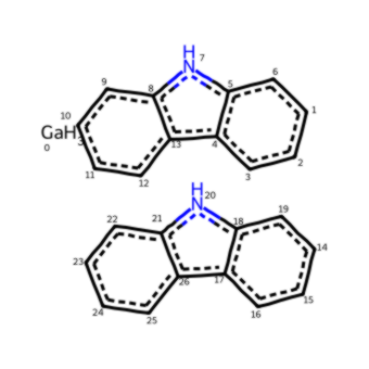 [GaH3].c1ccc2c(c1)[nH]c1ccccc12.c1ccc2c(c1)[nH]c1ccccc12